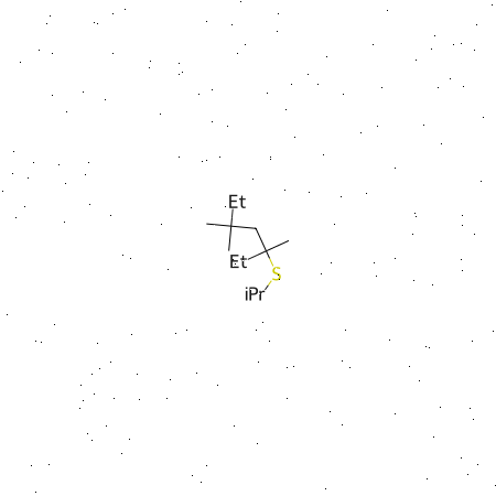 CCC(C)(C)CC(C)(CC)SC(C)C